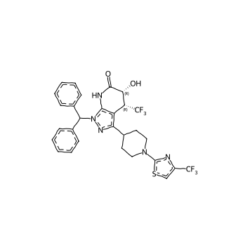 O=C1Nc2c(c(C3CCN(c4nc(C(F)(F)F)cs4)CC3)nn2C(c2ccccc2)c2ccccc2)[C@@H](C(F)(F)F)[C@H]1O